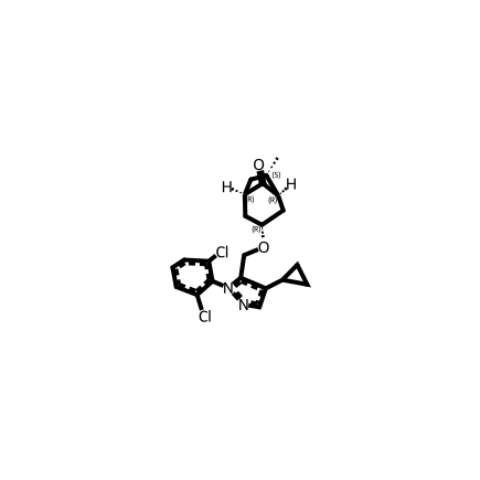 C[C@H]1C[C@@H]2C[C@@H](OCc3c(C4CC4)cnn3-c3c(Cl)cccc3Cl)C[C@H]1C2=O